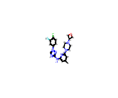 Cc1cc(Nc2ncn(-c3ccc(Cl)c(F)c3)n2)nc(N2CCN(C3COC3)CC2)c1